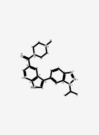 CC(C)n1nnc2ccc(-c3c[nH]c4ncc(C(=O)N5CCN(C)CC5)cc34)cc21